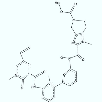 C=Cc1cc(C(=O)Nc2cccc(-c3cccc(N(Cl)C(=O)c4nc5c(n4C)CCN(C(=O)OC(C)(C)C)C5)c3)c2C)c(=O)n(C)c1